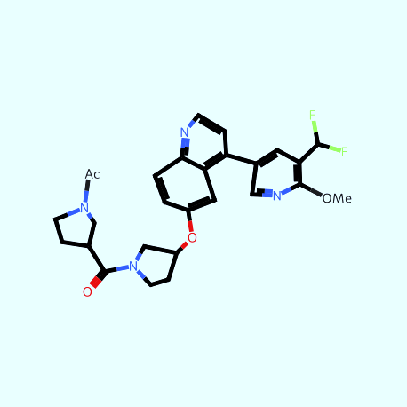 COc1ncc(-c2ccnc3ccc(OC4CCN(C(=O)C5CCN(C(C)=O)C5)C4)cc23)cc1C(F)F